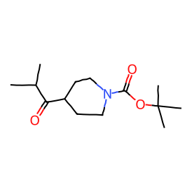 CC(C)C(=O)C1CCN(C(=O)OC(C)(C)C)CC1